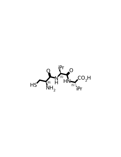 CC(C)[C@H](NC(=O)[C@@H](NC(=O)[C@@H](N)CS)C(C)C)C(=O)O